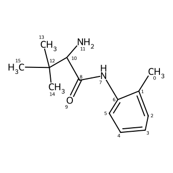 Cc1ccccc1NC(=O)C(N)C(C)(C)C